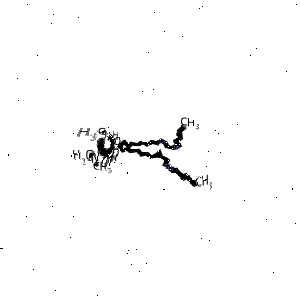 CCCCC/C=C\C/C=C\CCCCCCCCC1(CCCCCCCC2C=C2C/C=C\CCCCC)O[C@H]2[C@H](O)C(N(C)C)CN(C)C[C@H]2O1